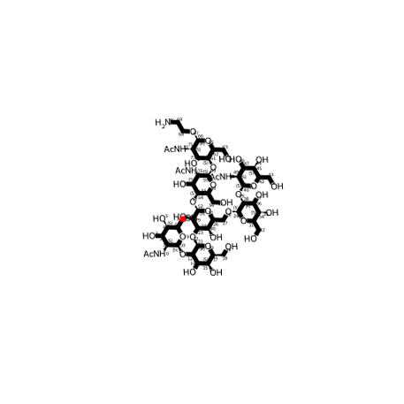 CC(=O)N[C@H]1C(O)[C@H](O)C(CO)O[C@H]1OC1C(O)[C@H](O)[C@H](CO)O[C@@H]1OC1[C@H](O)C(CO[C@H]2OC(CO)[C@@H](O)C(O)[C@H]2O[C@@H]2OC(CO)[C@@H](O)C(O)[C@@H]2NC(C)=O)O[C@@H](O[C@@H]2C(CO)O[C@@H](O[C@@H]3C(CO)O[C@@H](OCCN)[C@@H](NC(C)=O)C3O)[C@@H](NC(C)=O)C2O)[C@@H]1O